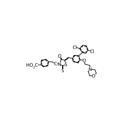 O=C(O)c1ccc(CCN2C(=O)C(=Cc3ccc(OCCN4CCOCC4)c(-c4cc(Cl)ccc4Cl)c3)SC2=S)cc1